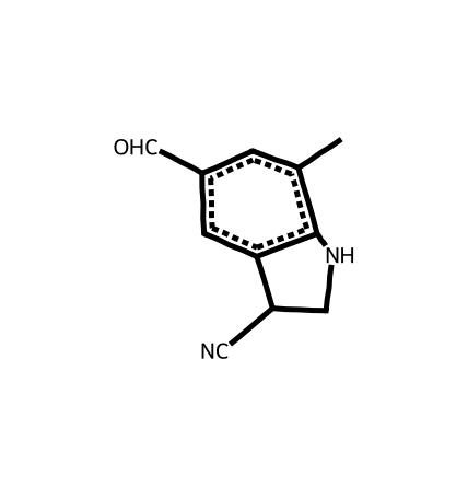 Cc1cc(C=O)cc2c1NCC2C#N